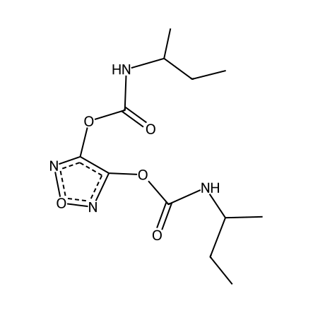 CCC(C)NC(=O)Oc1nonc1OC(=O)NC(C)CC